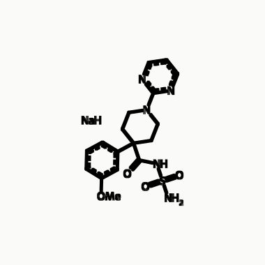 COc1cccc(C2(C(=O)NS(N)(=O)=O)CCN(c3ncccn3)CC2)c1.[NaH]